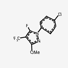 COc1nn(-c2ccc(Cl)cc2)c(F)c1C(F)(F)F